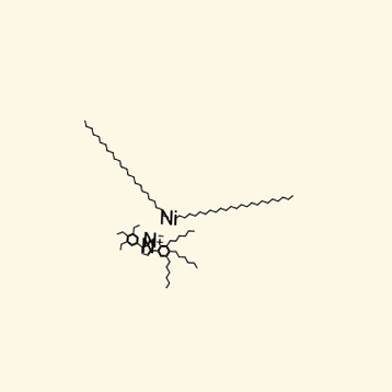 CCCCCCCCCCCCCCCCCCCCCCC[CH2][Ni][CH2]CCCCCCCCCCCCCCCCCCCCCCC.CCCCCCc1cc(C2=CC=C(c3cc(CC)c(CC)c(CC)c3)[N+]2=[N-])cc(CCCCCC)c1CCCCCC